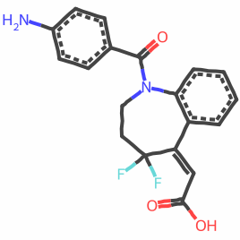 Nc1ccc(C(=O)N2CCC(F)(F)C(=CC(=O)O)c3ccccc32)cc1